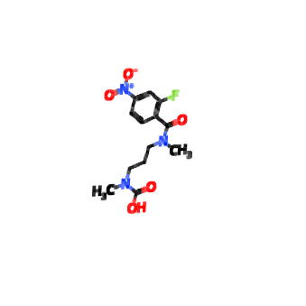 CN(CCCN(C)C(=O)c1ccc([N+](=O)[O-])cc1F)C(=O)O